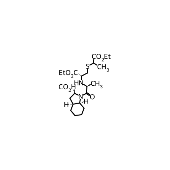 CCOC(=O)C(C)SC[C@H](N[C@@H](C)C(=O)N1[C@H](C(=O)O)C[C@@H]2CCCC[C@@H]21)C(=O)OCC